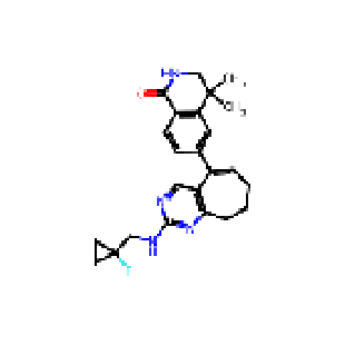 CC1(C)CNC(=O)c2ccc(C3=CCCCc4nc(NCC5(F)CC5)ncc43)cc21